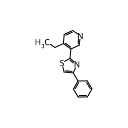 CCc1ccncc1-c1nc(-c2ccccc2)cs1